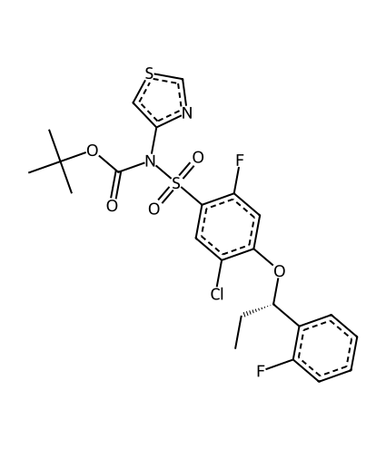 CC[C@H](Oc1cc(F)c(S(=O)(=O)N(C(=O)OC(C)(C)C)c2cscn2)cc1Cl)c1ccccc1F